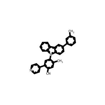 Cc1cccc(-c2ccc3c(c2)c2ccccc2n3-c2cc(-c3ccncc3)c(C#N)cc2C)c1